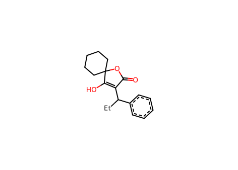 CCC(C1=C(O)C2(CCCCC2)OC1=O)c1ccccc1